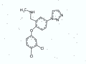 CNCc1cc(-n2ccnn2)ccc1Oc1ccc(Cl)c(Cl)c1